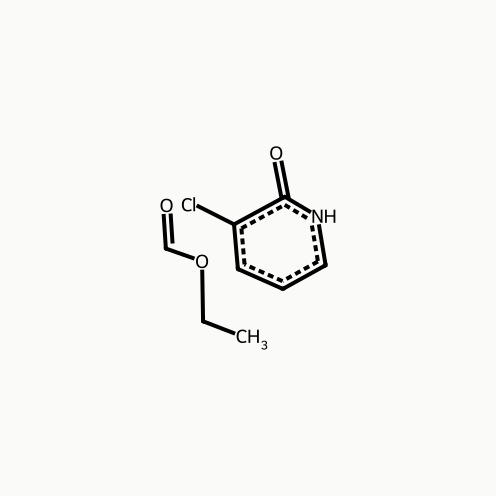 CCOC=O.O=c1[nH]cccc1Cl